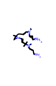 CN(CCCN)CCCC1(C)CN1CCC(C)(C)N(C)CCCN